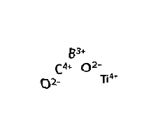 [B+3].[C+4].[O-2].[O-2].[Ti+4]